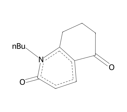 CCCCn1c2c(ccc1=O)C(=O)CCC2